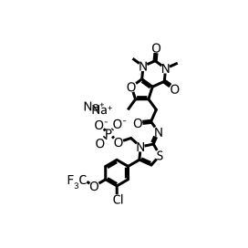 Cc1oc2c(c1CC(=O)N=c1scc(-c3ccc(OC(F)(F)F)c(Cl)c3)n1COP(=O)([O-])[O-])c(=O)n(C)c(=O)n2C.[Na+].[Na+]